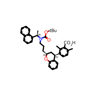 Cc1ccc([C@@H]2C[C@H](CCCN(C(=O)OC(C)(C)C)[C@H](C)c3cccc4ccccc34)Oc3ccccc32)c(C)c1C(=O)O